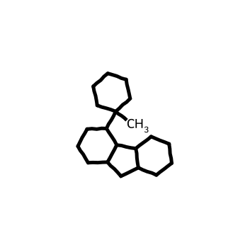 CC1(C2CCCC3CC4CCCCC4C32)CCCCC1